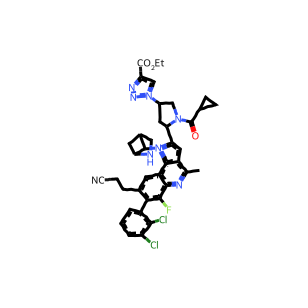 CCOC(=O)c1cn(C2CC(c3cc4c(C)nc5c(F)c(-c6cccc(Cl)c6Cl)c(CCC#N)cc5c4n3C3C4CNC3C4)N(C(=O)C3CC3)C2)nn1